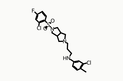 Cc1ccc(NCCCN2CC3CN(S(=O)(=O)c4ccc(F)cc4Cl)CC3C2)cc1Cl